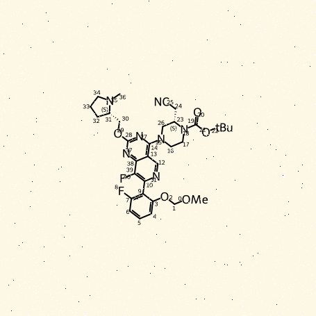 COCOc1cccc(F)c1-c1ncc2c(N3CCN(C(=O)OC(C)(C)C)[C@@H](CC#N)C3)nc(OC[C@@H]3CCCN3C)nc2c1F